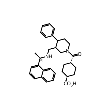 C[C@@H](NCC1CN(C(=O)[C@H]2CC[C@H](C(=O)O)CC2)CCC1c1ccccc1)c1cccc2ccccc12